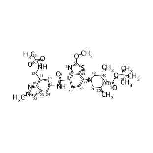 COc1nc2c(C(=O)Nc3cc(CNS(C)(=O)=O)c4nn(C)cc4c3)ccc(N3C[C@H](C)N(C(=O)OC(C)(C)C)[C@@H](C)C3)c2s1